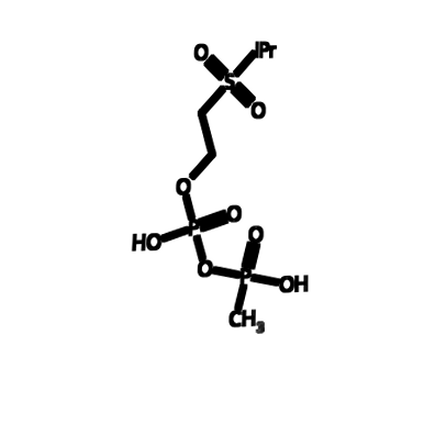 CC(C)S(=O)(=O)CCOP(=O)(O)OP(C)(=O)O